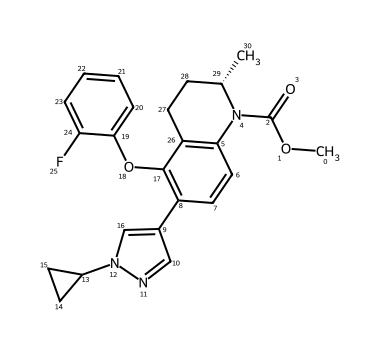 COC(=O)N1c2ccc(-c3cnn(C4CC4)c3)c(Oc3ccccc3F)c2CC[C@@H]1C